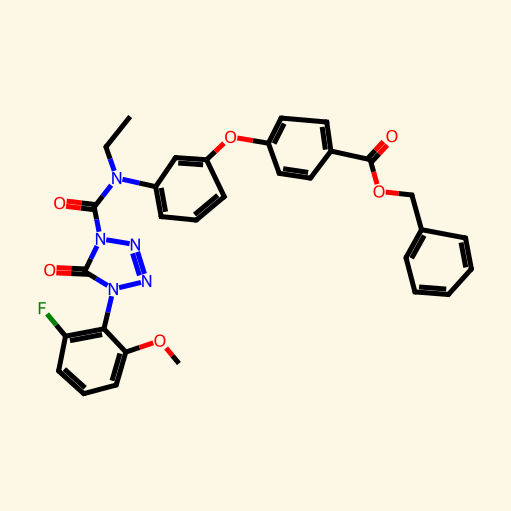 CCN(C(=O)n1nnn(-c2c(F)cccc2OC)c1=O)c1cccc(Oc2ccc(C(=O)OCc3ccccc3)cc2)c1